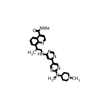 CNC(=O)c1ccnc2c([C@H](C)CNc3cc(-c4cnc(N(C)C5CCN(C)CC5)nc4)ncn3)cccc12